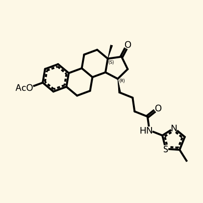 CC(=O)Oc1ccc2c(c1)CCC1C2CC[C@]2(C)C(=O)C[C@@H](CCCC(=O)Nc3ncc(C)s3)C12